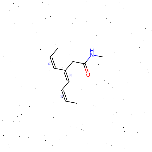 C\C=C/C=C(\C=C/C)CC(=O)NC